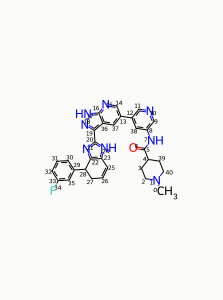 CN1CCC(C(=O)Nc2cncc(-c3cnc4[nH]nc(-c5nc6c([nH]5)C=CCC6c5cccc(F)c5)c4c3)c2)CC1